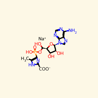 Cc1[nH]c(C(=O)[O-])nc1P(=O)(O)OC(O)[C@H]1O[C@@H](n2cnc3c(N)ncnc32)[C@H](O)[C@@H]1O.[Na+]